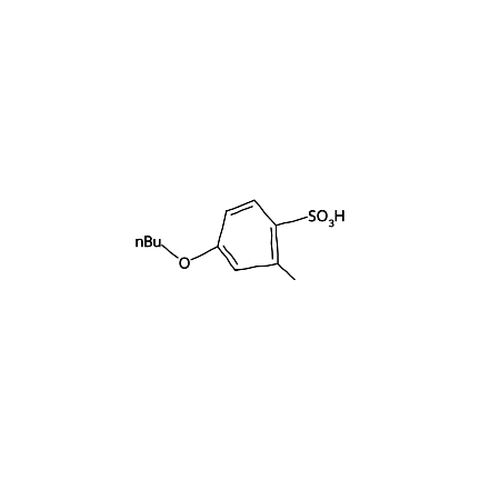 CCCCOc1ccc(S(=O)(=O)O)c(C)c1